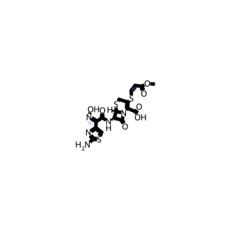 COC(=O)/C=C\SC1=C(C(=O)O)N2C(=O)[C@@H](NC(=O)/C(=N\O)c3csc(N)n3)[C@@H]2SC1